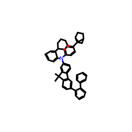 CC1(C)c2ccc(-c3ccccc3-c3ccccc3)cc2-c2ccc(N(c3ccc(C4CC5CCC4C5)cc3)c3ccccc3C3CCCCC3)cc21